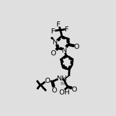 Cn1c(C(F)(F)F)cc(=O)n(-c2ccc(C[C@H](NC(=O)OC(C)(C)C)C(=O)O)cc2)c1=O